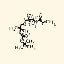 CCC(=O)NCC(C)(C)COCC(C)(C)CC(=O)OC(C)(C)C